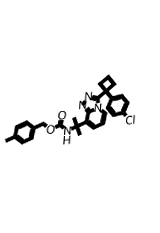 Cc1ccc(COC(=O)NC(C)(C)c2cccn3c(C4(c5ccc(Cl)cc5)CCC4)nnc23)cc1